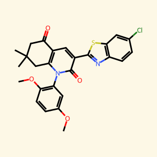 COc1ccc(OC)c(-n2c3c(cc(-c4nc5ccc(Cl)cc5s4)c2=O)C(=O)CC(C)(C)C3)c1